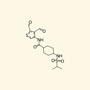 CC(C)S(=O)(=O)NC1CCC(C(=O)Nc2csc(C=O)c2C=O)CC1